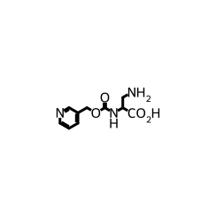 NCC(NC(=O)OCc1cccnc1)C(=O)O